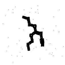 CSSOC(=NC#N)OSSC